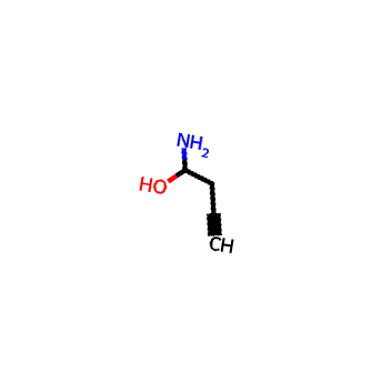 C#CCC(N)O